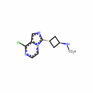 O=C(O)N[C@H]1C[C@H](c2ncc3c(Cl)nccn32)C1